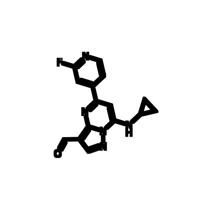 O=Cc1cnn2c(NC3CC3)cc(-c3ccnc(F)c3)nc12